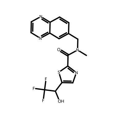 CN(Cc1ccc2nccnc2c1)C(=O)c1ncc(C(O)C(F)(F)F)s1